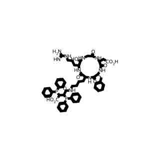 N=C(N)NCCCC1NC(=O)C(CCCCNC(=O)C(C(C(=O)O)P(c2ccccc2)c2ccccc2)P(c2ccccc2)c2ccccc2)NC(=O)[C@@H](Cc2ccccc2)NC(=O)C(CC(=O)O)NC(=O)CNC1O